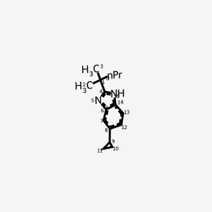 CCCC(C)(C)c1nc2cc(C3CC3)ccc2[nH]1